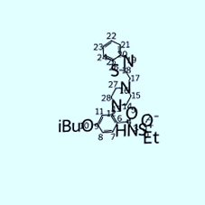 CC[S+]([O-])NC(=O)c1ccc(OCC(C)C)cc1N1CCN(Cc2nc3ccccc3s2)CC1